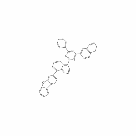 C1=Cc2cc(-c3nc(-c4ccccc4)nc(-c4cccc5c(-c6ccc7c(c6)oc6ccccc67)cccc45)n3)ccc2CC1